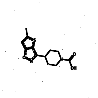 Cc1cc2onc(C3CCN(C(=O)O)CC3)c2s1